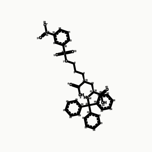 O=C(O)[C@@H](CCCOS(=O)(=O)c1cccc([N+](=O)[O-])c1)C[C@H](NC(c1ccccc1)(c1ccccc1)c1ccccc1)C(=O)O